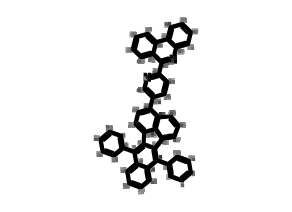 c1ccc(-c2c3c(c(-c4ccccc4)c4ccccc24)-c2ccc(-c4ccc(-c5nc6ccccc6c6ccccc56)nc4)c4cccc-3c24)cc1